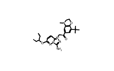 CCC(CC)Oc1ccc2n(n1)c(N)n[n+]2CC(=O)c1cc2c(c(C(C)(C)C)c1)OCCN2C